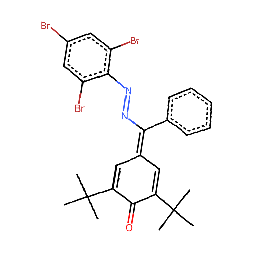 CC(C)(C)C1=CC(=C(N=Nc2c(Br)cc(Br)cc2Br)c2ccccc2)C=C(C(C)(C)C)C1=O